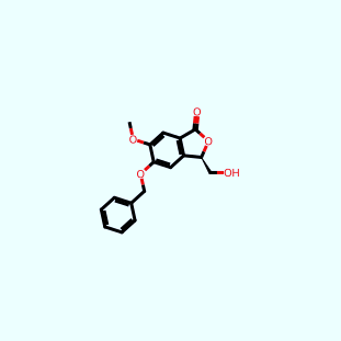 COc1cc2c(cc1OCc1ccccc1)[C@H](CO)OC2=O